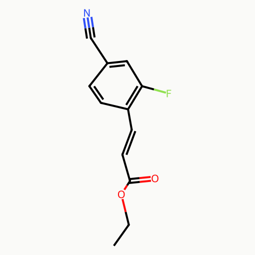 CCOC(=O)C=Cc1ccc(C#N)cc1F